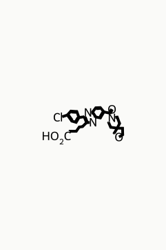 O=C(O)CCCCc1nc2cc(C(=O)N3CCC4(CCOC4)CC3)ccc2nc1-c1ccc(Cl)cc1